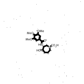 COc1cc(C(=O)N[C@@H]2CN(C(=O)O)CCC[C@H]2O)cc(OC)c1OC